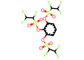 O=S(=O)(Oc1cccc(OS(=O)(=O)C(F)C(F)F)c1OS(=O)(=O)C(F)C(F)F)C(F)C(F)F